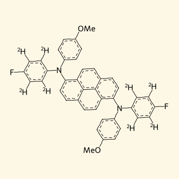 [2H]c1c([2H])c(N(c2ccc(OC)cc2)c2ccc3ccc4c(N(c5ccc(OC)cc5)c5c([2H])c([2H])c(F)c([2H])c5[2H])ccc5ccc2c3c54)c([2H])c([2H])c1F